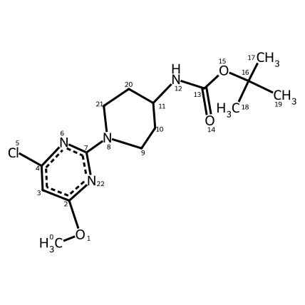 COc1cc(Cl)nc(N2CCC(NC(=O)OC(C)(C)C)CC2)n1